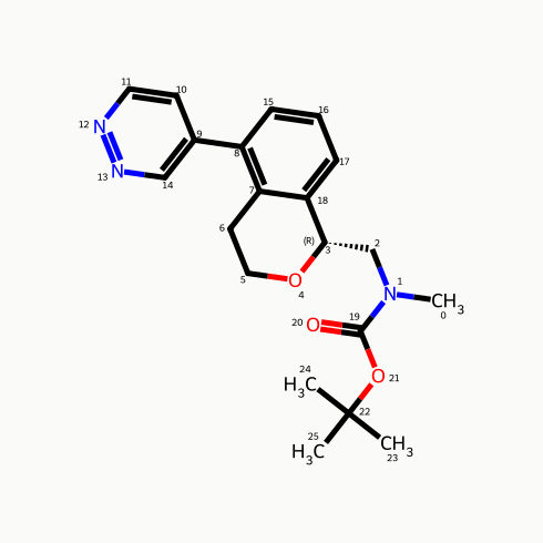 CN(C[C@@H]1OCCc2c(-c3ccnnc3)cccc21)C(=O)OC(C)(C)C